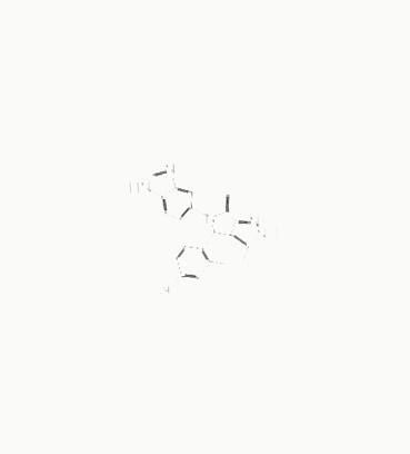 Cc1[nH]nc2c1C(c1ccc(Br)cc1F)N(c1ccc3[nH]cnc3c1)C2=O